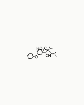 CC(C)=CC1C(C)(C)[C@]1(C(=O)O)C(C#N)c1cccc(Oc2ccccc2)c1